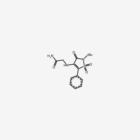 CC(C)(C)N1C(=O)C(NCC(N)=O)=C(c2ccccc2)S1(=O)=O